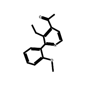 CCc1c(C(C)=O)ccnc1-c1ccccc1OC